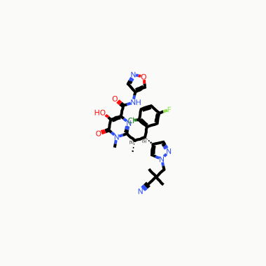 C[C@H](c1nc(C(=O)Nc2cnoc2)c(O)c(=O)n1C)[C@@H](c1cnn(CC(C)(C)C#N)c1)c1cc(F)ccc1Cl